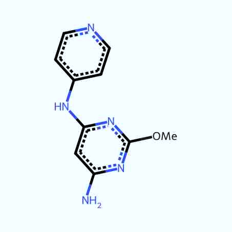 COc1nc(N)cc(Nc2ccncc2)n1